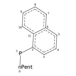 CCCCC[P]c1cccc2ccccc12